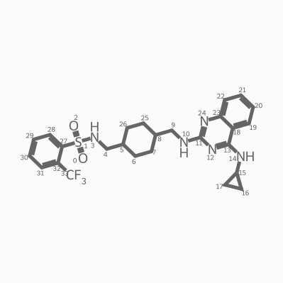 O=S(=O)(NCC1CCC(CNc2nc(NC3CC3)c3ccccc3n2)CC1)c1ccccc1C(F)(F)F